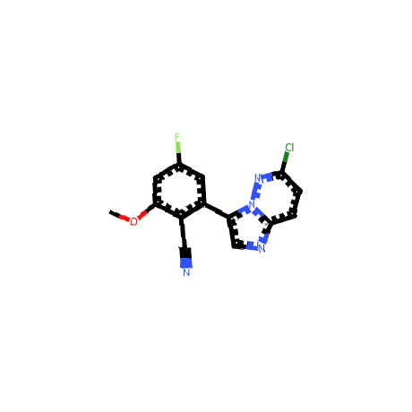 COc1cc(F)cc(-c2cnc3ccc(Cl)nn23)c1C#N